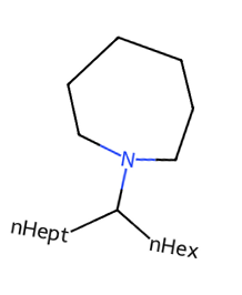 CCCCCCCC(CCCCCC)N1CCCCCC1